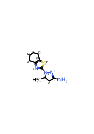 CC1CC(N)=NN1c1nc2c(s1)CCCC2